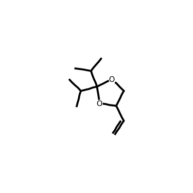 C=CC1COC(C(C)C)(C(C)C)O1